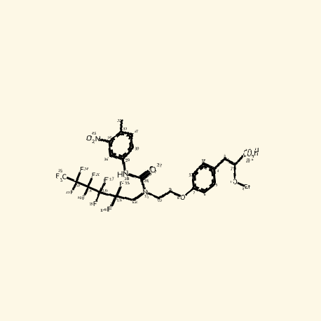 CCOC(Cc1ccc(OCCN(CC(F)(F)C(F)(F)C(F)(F)C(F)(F)C(F)(F)F)C(=O)Nc2ccc(C)c([N+](=O)[O-])c2)cc1)C(=O)O